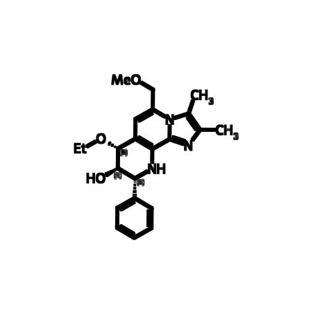 CCO[C@@H]1c2cc(COC)n3c(C)c(C)nc3c2N[C@H](c2ccccc2)[C@H]1O